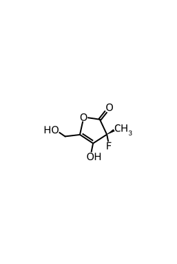 C[C@]1(F)C(=O)OC(CO)=C1O